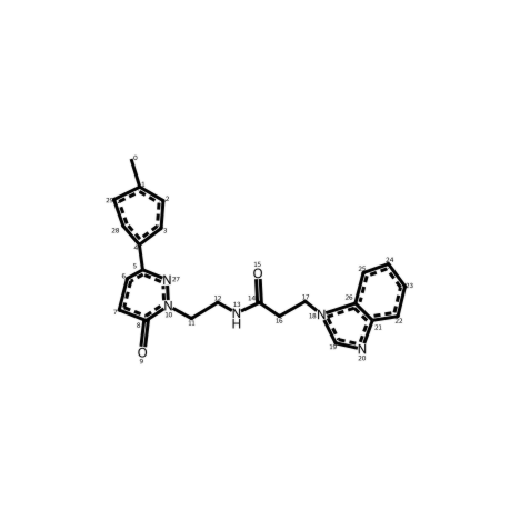 Cc1ccc(-c2ccc(=O)n(CCNC(=O)CCn3cnc4ccccc43)n2)cc1